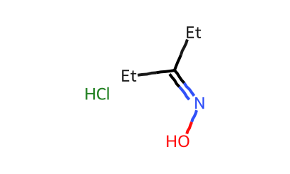 CCC(CC)=NO.Cl